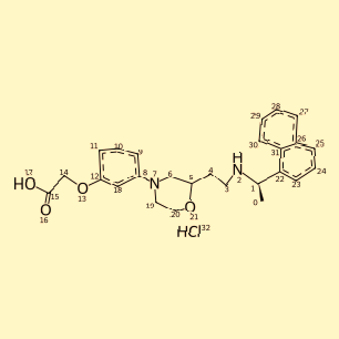 C[C@@H](NCCC1CN(c2cccc(OCC(=O)O)c2)CCO1)c1cccc2ccccc12.Cl